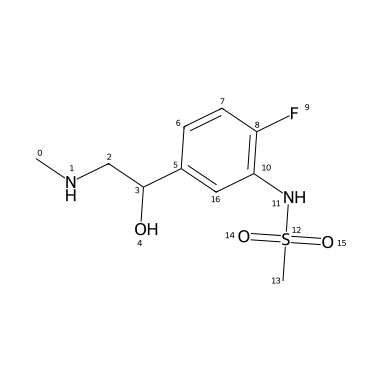 CNCC(O)c1ccc(F)c(NS(C)(=O)=O)c1